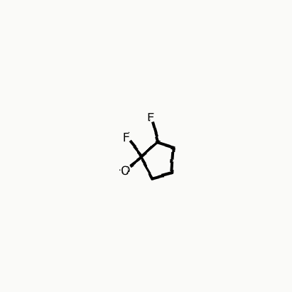 [O]C1(F)CCCC1F